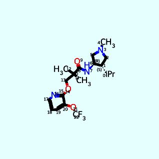 CC(C)[C@H]1CN(C)C[C@@H]1NC(=O)C(C)(C)COc1ncccc1OC(F)(F)F